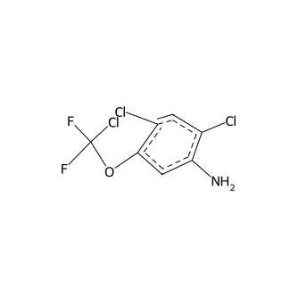 Nc1cc(OC(F)(F)Cl)c(Cl)cc1Cl